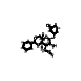 [N-]=[N+]=N[C@@H]1[C@@H](O)[C@@H](Sc2cncc(Cl)c2)O[C@@H]2COC(c3ccccc3)O[C@H]12